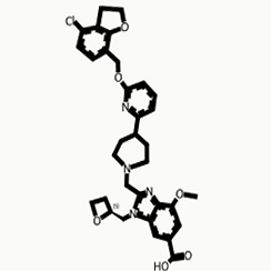 COc1cc(C(=O)O)cc2c1nc(CN1CCC(c3cccc(OCc4ccc(Cl)c5c4OCC5)n3)CC1)n2C[C@@H]1CCO1